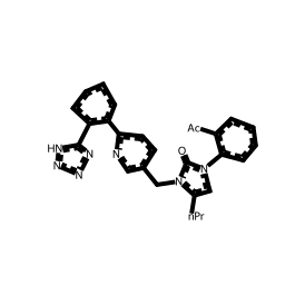 CCCc1cn(-c2ccccc2C(C)=O)c(=O)n1Cc1ccc(-c2ccccc2-c2nnn[nH]2)nc1